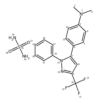 CN(C)c1ccc(-c2cc(C(F)(F)F)nn2-c2ccccc2)cc1.NS(N)(=O)=O